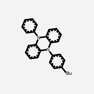 CCC(C)c1ccc(N2c3ccccc3N(c3ccccc3)c3ccccc32)cc1